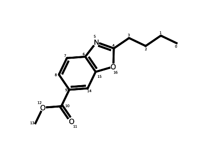 CCCCc1nc2ccc(C(=O)OC)cc2o1